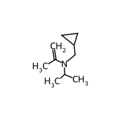 C=C(C)N(CC1CC1)C(C)C